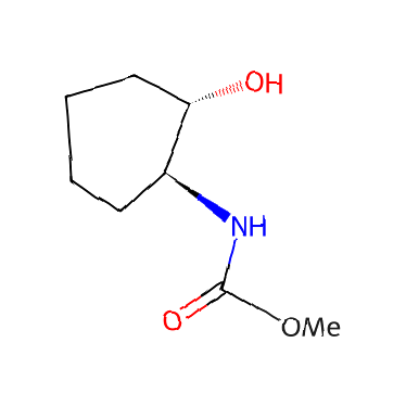 COC(=O)N[C@H]1CCCC[C@@H]1O